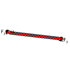 OC(COCCOCCOCCOCCOCCOCCOCCOCCOCCOCCOCCOCCOCCOCCOCCOCCOCCOCCOCCOCCOCCOCCOCCOCCOCCOCCOCCOCCOCCOCCOCCOCCOCCOCCOCCOCC(O)CC(F)(F)C(F)(F)C(F)(F)C(F)(F)F)CC(F)(F)C(F)(F)C(F)(F)C(F)(F)F